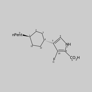 CCCCC[C@H]1CC[C@H](c2c[nH]c(C(=O)O)c2F)CC1